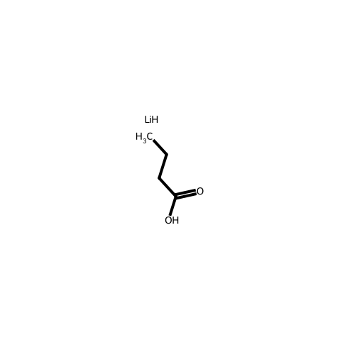 CCCC(=O)O.[LiH]